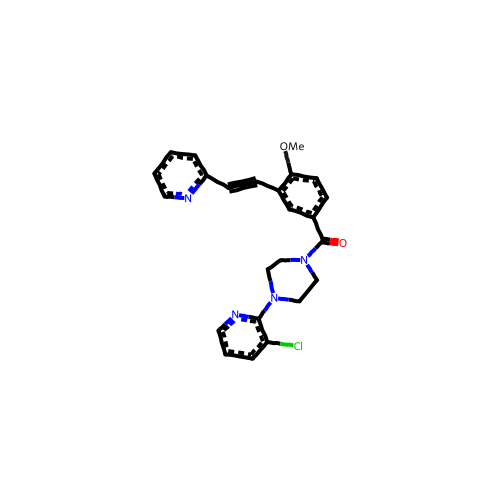 COc1ccc(C(=O)N2CCN(c3ncccc3Cl)CC2)cc1C#Cc1ccccn1